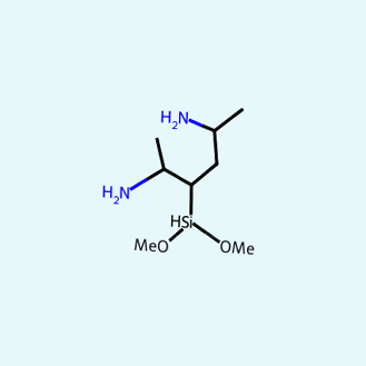 CO[SiH](OC)C(CC(C)N)C(C)N